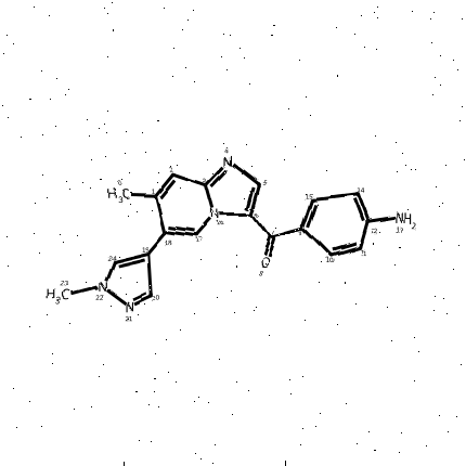 Cc1cc2ncc(C(=O)c3ccc(N)cc3)n2cc1-c1cnn(C)c1